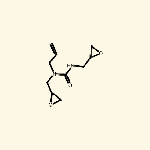 C=CCN(CC1CO1)C(=O)NCC1CO1